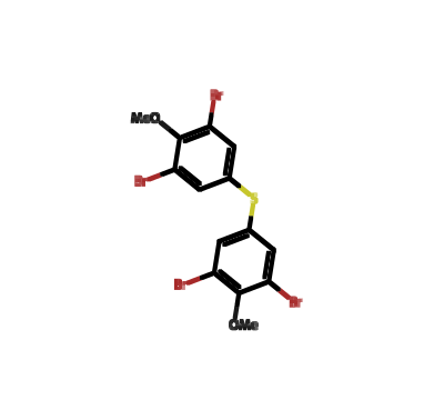 COc1c(Br)cc(Sc2cc(Br)c(OC)c(Br)c2)cc1Br